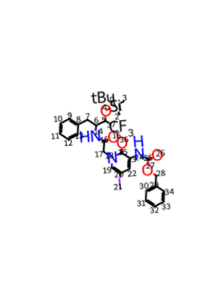 CC(C)(C)[Si](C)(C)OC(C(Cc1ccccc1)NC(=O)Cn1cc(I)cc(NC(=O)OCc2ccccc2)c1=O)C(F)(F)F